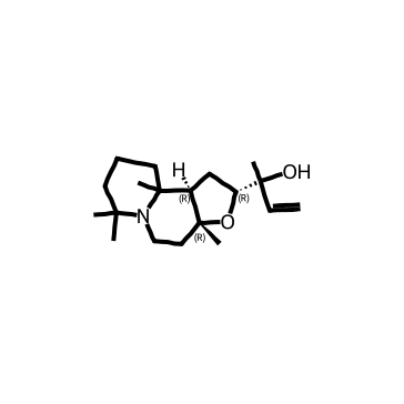 C=CC(C)(O)[C@H]1C[C@@H]2C3(C)CCCC(C)(C)N3CC[C@@]2(C)O1